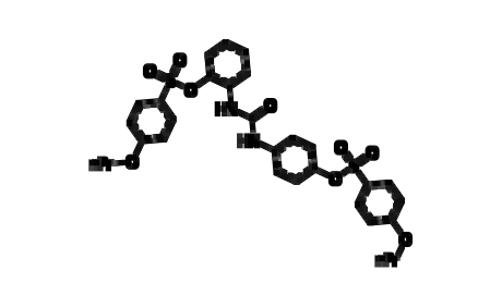 CCCOc1ccc(S(=O)(=O)Oc2ccc(NC(=O)Nc3ccccc3OS(=O)(=O)c3ccc(OCCC)cc3)cc2)cc1